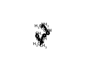 CC(C)c1cnn2c(NCc3ccc(C4CCC(F)C(NC(=O)C/C=C/C(N)N(C)C)C4)cc3)nc(OC3CCN(C)CC3)nc12